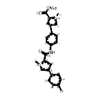 COC(=O)c1cc(-c2ccc(NC(=O)c3cc(-c4ccc(C)cc4)cn3C)cc2)cn1C